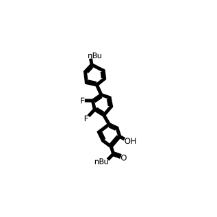 CCCCC(=O)c1ccc(-c2ccc(-c3ccc(CCCC)cc3)c(F)c2F)cc1O